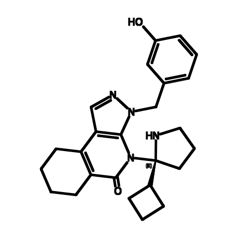 O=c1c2c(c3cnn(Cc4cccc(O)c4)c3n1[C@@]1(C3CCC3)CCCN1)CCCC2